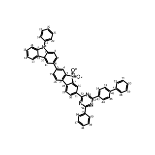 O=S1(=O)c2cc(-c3ccc4c(c3)c3ccccc3n4-c3ccccc3)ccc2-c2ccc(-c3nc(-c4ccccc4)nc(-c4ccc(-c5ccccc5)cc4)n3)cc21